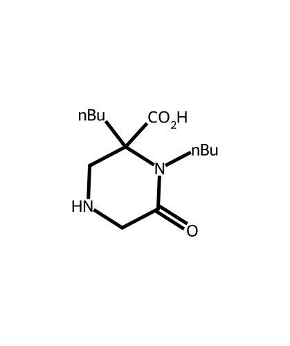 CCCCN1C(=O)CNCC1(CCCC)C(=O)O